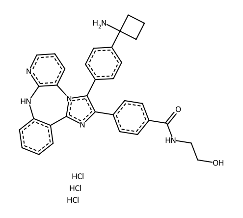 Cl.Cl.Cl.NC1(c2ccc(-c3c(-c4ccc(C(=O)NCCO)cc4)nc4n3-c3cccnc3Nc3ccccc3-4)cc2)CCC1